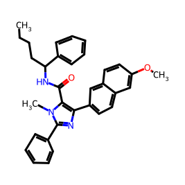 CCCCC(NC(=O)c1c(-c2ccc3cc(OC)ccc3c2)nc(-c2ccccc2)n1C)c1ccccc1